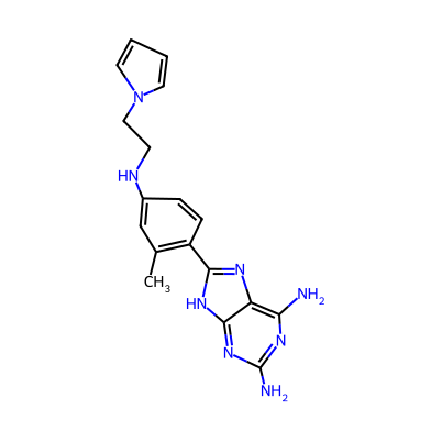 Cc1cc(NCCn2cccc2)ccc1-c1nc2c(N)nc(N)nc2[nH]1